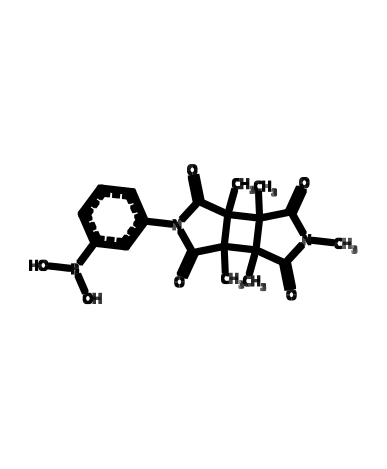 CN1C(=O)C2(C)C(C)(C1=O)C1(C)C(=O)N(c3cccc(B(O)O)c3)C(=O)C21C